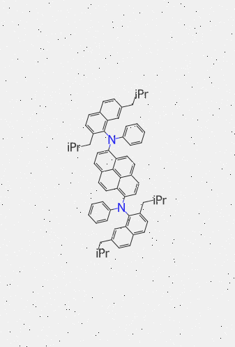 CC(C)Cc1ccc2ccc(CC(C)C)c(N(c3ccccc3)c3ccc4ccc5c(N(c6ccccc6)c6c(CC(C)C)ccc7ccc(CC(C)C)cc67)ccc6ccc3c4c65)c2c1